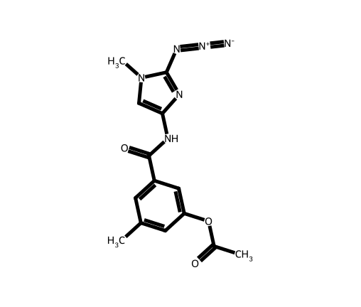 CC(=O)Oc1cc(C)cc(C(=O)Nc2cn(C)c(N=[N+]=[N-])n2)c1